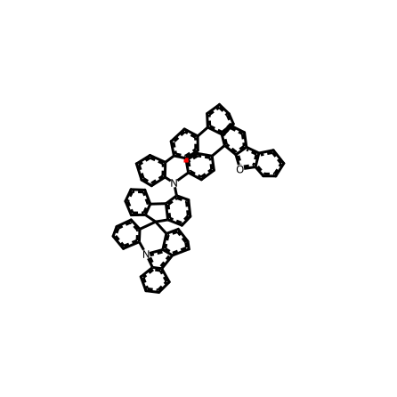 c1ccc(-c2ccc(-c3ccccc3N(c3ccc(-c4cccc5c4oc4ccccc45)cc3)c3cccc4c3-c3ccccc3C43c4ccccc4-n4c5ccccc5c5cccc3c54)cc2)cc1